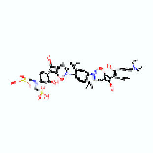 CCN(CC)c1ccc(C2=C(O)C(=CC3=[N+](C)c4cc5c(cc4C3(C)C)[N+](C)=C(C=C3C(=O)C(c4ccc(N(CS(=O)(=O)O)CS(=O)(=O)O)cc4O)=C3O)C5(C)C)C2=O)c(O)c1